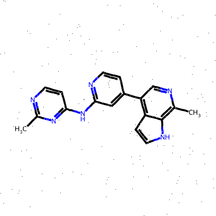 Cc1nccc(Nc2cc(-c3cnc(C)c4[nH]ccc34)ccn2)n1